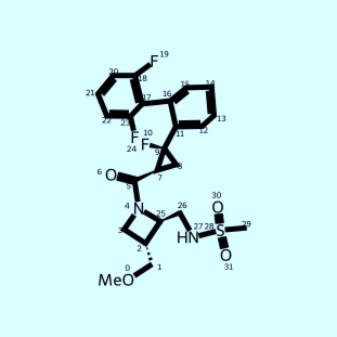 COC[C@@H]1CN(C(=O)[C@@H]2C[C@@]2(F)c2ccccc2-c2c(F)cccc2F)[C@H]1CNS(C)(=O)=O